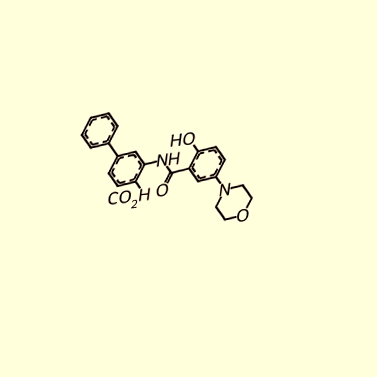 O=C(Nc1cc(-c2ccccc2)ccc1C(=O)O)c1cc(N2CCOCC2)ccc1O